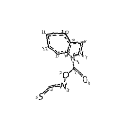 O=C(ON=C=S)n1ncc2ccccc21